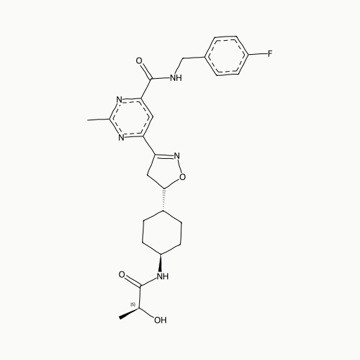 Cc1nc(C(=O)NCc2ccc(F)cc2)cc(C2=NOC([C@H]3CC[C@H](NC(=O)[C@H](C)O)CC3)C2)n1